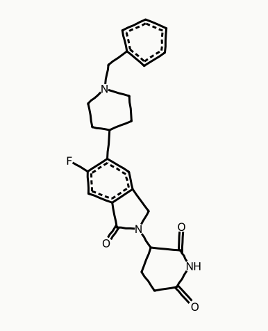 O=C1CCC(N2Cc3cc(C4CCN(Cc5ccccc5)CC4)c(F)cc3C2=O)C(=O)N1